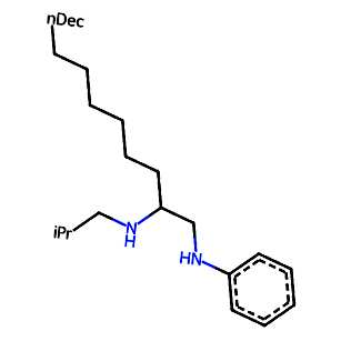 CCCCCCCCCCCCCCCCC(CNc1ccccc1)NCC(C)C